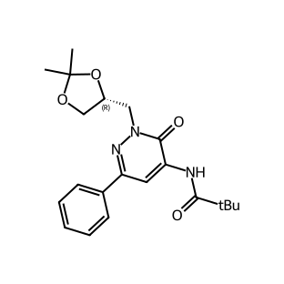 CC1(C)OC[C@@H](Cn2nc(-c3ccccc3)cc(NC(=O)C(C)(C)C)c2=O)O1